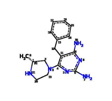 C[C@@H]1CN(c2nc(N)nc(N)c2Cc2ccccc2)CCN1